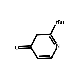 CC(C)(C)C1=NC=CC(=O)C1